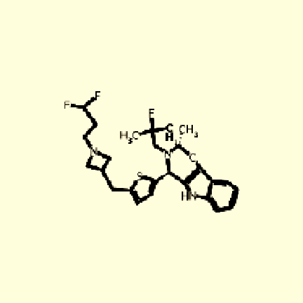 C[C@@H]1Cc2c([nH]c3ccccc23)[C@@H](c2ccc(CC3CN(CCC(F)F)C3)s2)N1CC(C)(C)F